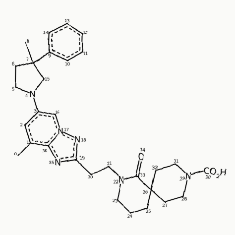 Cc1cc(N2CCC(C)(c3ccccc3)C2)cn2nc(CCN3CCCC4(CCN(C(=O)O)CC4)C3=O)nc12